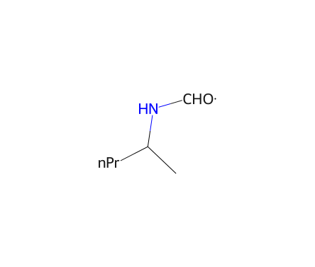 CCCC(C)N[C]=O